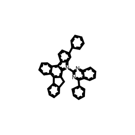 c1ccc(-c2ccc3c4c5ccccc5c5c(c4n(-c4nc(-c6ccccc6)c6ccccc6n4)c3c2)Cc2ccccc2-5)cc1